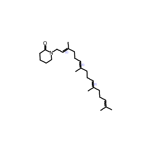 CC(C)=CCC/C(C)=C/CC/C(C)=C/CC/C(C)=C/CN1CCCCC1=O